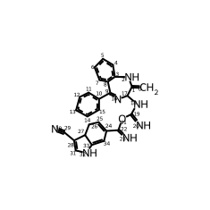 C=C1Nc2ccccc2C(c2ccccc2)=NC1NC(=N)OC(=N)C1=CCC2C(C#N)=CNC2=C1